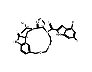 CC(C)C[C@H]1C(=O)N2C[C@]3(C[C@H]2C#N)C(=O)Nc2ccc(cc23)CCCCCCN1C(=O)c1cc2c(F)cc(F)cc2[nH]1